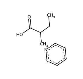 CCC(C)C(=O)O.c1ccnnc1